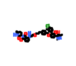 C=C1CCC(N2C(=O)c3cccc(NCCOCCCc4ccc(COc5ccc(-c6cc(C)nn6C)c(O)c5-c5ccc(Cl)c(C)c5)cc4)c3C2=O)C(=O)N1